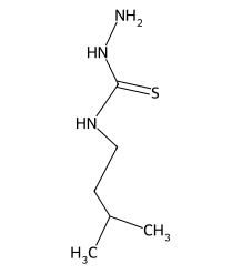 CC(C)CCNC(=S)NN